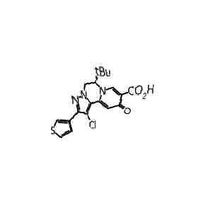 CC(C)(C)[C@@H]1Cn2nc(-c3ccsc3)c(Cl)c2-c2cc(=O)c(C(=O)O)cn21